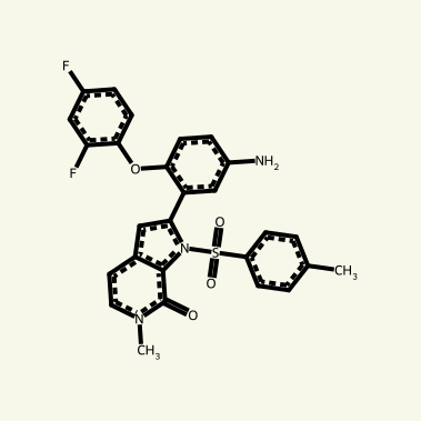 Cc1ccc(S(=O)(=O)n2c(-c3cc(N)ccc3Oc3ccc(F)cc3F)cc3ccn(C)c(=O)c32)cc1